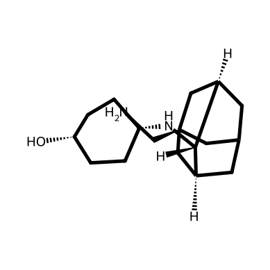 NC[C@]12CC3C[C@H](C1)[C@@H](N[C@H]1CC[C@@H](O)CC1)[C@@H](C3)C2